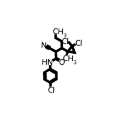 CCCC(C(C#N)C(=O)Nc1ccc(Cl)cc1)C1(C)CC1(Cl)Cl